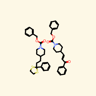 O=C(/C=C/C1CCN(C(=O)OCc2ccccc2)CC1)c1ccccc1.O=C(OCc1ccccc1)N1CCC(CCC2(c3ccccc3)SCCS2)CC1